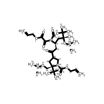 C=CCOC(=O)C(=O)N1C(=O)[C@H]([C@@](C)(O[SiH](C)C)C(C)(C)C)[C@H]1CC(=O)C1CN(C(=O)OCC=C)[C@](CO[SiH](C)C)(C(C)(C)C)C1